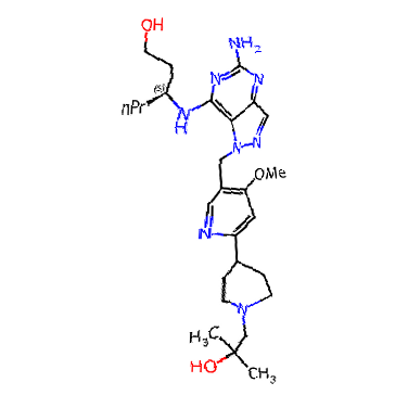 CCC[C@@H](CCO)Nc1nc(N)nc2cnn(Cc3cnc(C4CCN(CC(C)(C)O)CC4)cc3OC)c12